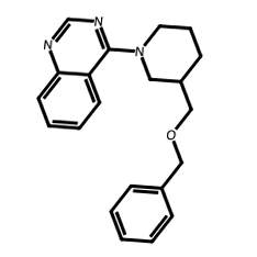 c1ccc(COCC2CCCN(c3ncnc4ccccc34)C2)cc1